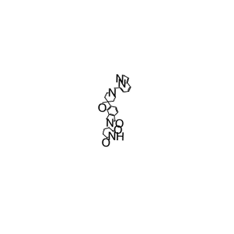 O=C1CCC(N2Cc3c(ccc4c3OCC43CCN(Cc4cccc5ccnn45)CC3)C2=O)C(=O)N1